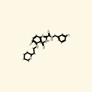 O=C(NCc1cccc(Cl)c1)c1nc2ccc(F)c(OCCC3CCCCO3)c2c(=O)[nH]1